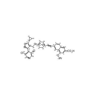 CC(C)Oc1cc(C(=O)O)nc2ccc(C#CC34CCC(OCc5c(-c6c(Cl)cncc6Cl)noc5C5CC5)(CC3)CC4)cc12